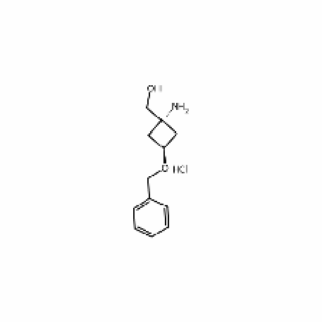 Cl.N[C@]1(CO)C[C@@H](OCc2ccccc2)C1